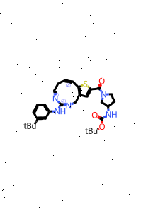 CC(C)(C)OC(=O)NC1CCN(C(=O)c2cc3c(s2)/C=C\C/C=N\C(Nc2cccc(C(C)(C)C)c2)=N/C3)C1